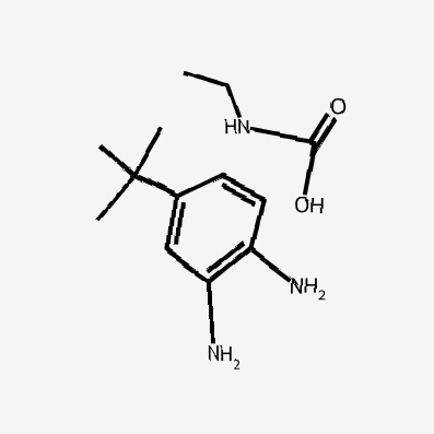 CC(C)(C)c1ccc(N)c(N)c1.CCNC(=O)O